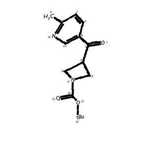 Cc1ccc(C(=O)C2CN(C(=O)OC(C)(C)C)C2)cn1